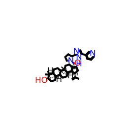 C=C(C)[C@@H]1CC[C@]2(C(=O)N3CCCC3c3ncc(-c4cccnc4)[nH]3)CC[C@]3(C)[C@H](CC[C@@H]4[C@@]5(C)CC[C@H](O)C(C)(C)[C@@H]5CC[C@]43C)[C@@H]12